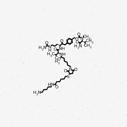 CC(C)[C@H](NC(=O)CCCCCN1C(=O)CC(SCCCCCC(=O)NCCCCCN)C1=O)C(=O)N[C@@H](CCCNC(N)=O)C(=O)Cc1ccc(COC(=O)N(C)[C@H](C(N)=O)C(C)C)cc1